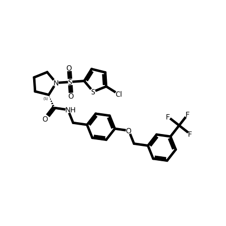 O=C(NCc1ccc(OCc2cccc(C(F)(F)F)c2)cc1)[C@@H]1CCCN1S(=O)(=O)c1ccc(Cl)s1